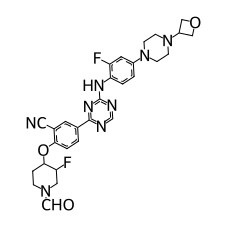 N#Cc1cc(-c2ncnc(Nc3ccc(N4CCN(C5COC5)CC4)cc3F)n2)ccc1OC1CCN(C=O)CC1F